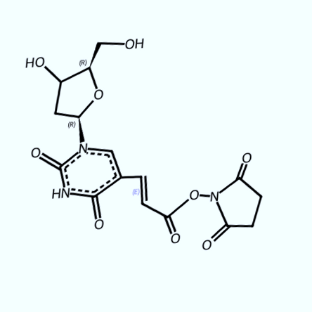 O=C(/C=C/c1cn([C@H]2CC(O)[C@@H](CO)O2)c(=O)[nH]c1=O)ON1C(=O)CCC1=O